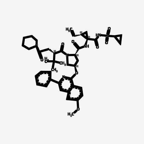 C=C[C@@H]1C[C@]1(NC(=O)[C@@H]1C[C@@H](Oc2nc(-c3ccccc3)cc3cc(OC)ccc23)CN1C(=O)[C@@H](CC(=O)N1CCCCC1)C(C)(C)C)C(=O)NS(=O)(=O)C1CC1